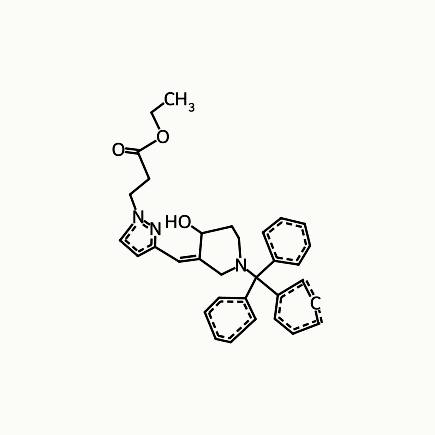 CCOC(=O)CCn1ccc(/C=C2/CN(C(c3ccccc3)(c3ccccc3)c3ccccc3)CCC2O)n1